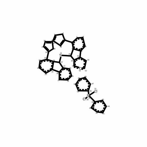 C1=CCC(c2cccc3c2[CH]([Ti][CH]2c4ccccc4-c4cccc(C5=CC=CC5)c42)c2ccccc2-3)=C1.Cl[Si](Cl)(c1ccccc1)c1ccccc1